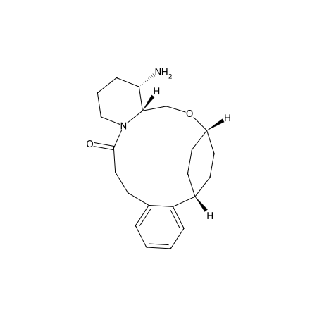 N[C@H]1CCCN2C(=O)CCc3ccccc3[C@H]3CC[C@H](CC3)OC[C@@H]12